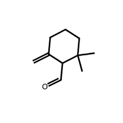 C=C1CCCC(C)(C)C1C=O